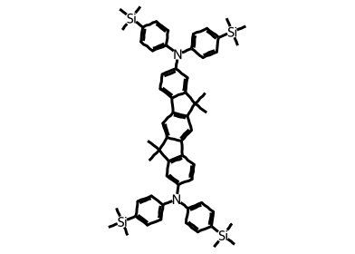 CC1(C)c2cc(N(c3ccc([Si](C)(C)C)cc3)c3ccc([Si](C)(C)C)cc3)ccc2-c2cc3c(cc21)-c1ccc(N(c2ccc([Si](C)(C)C)cc2)c2ccc([Si](C)(C)C)cc2)cc1C3(C)C